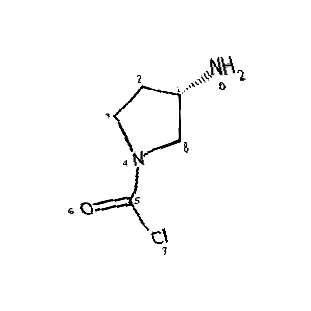 N[C@H]1CCN(C(=O)Cl)C1